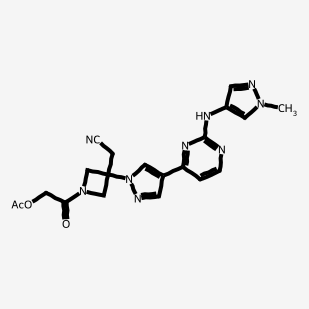 CC(=O)OCC(=O)N1CC(CC#N)(n2cc(-c3ccnc(Nc4cnn(C)c4)n3)cn2)C1